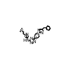 CN(C)CCn1cc(Nc2ncnc(N3CCN(c4ncc(Cc5ccccc5)cn4)CC3)n2)cn1